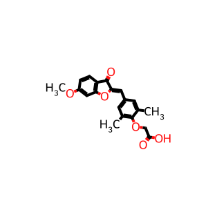 COc1ccc2c(c1)OC(=Cc1cc(C)c(OCC(=O)O)c(C)c1)C2=O